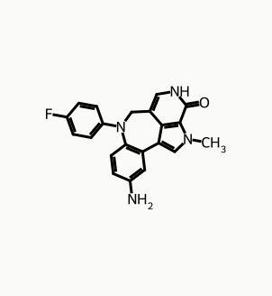 Cn1cc2c3c(c[nH]c(=O)c31)CN(c1ccc(F)cc1)c1ccc(N)cc1-2